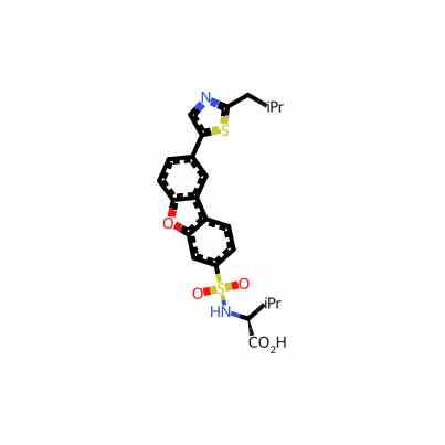 CC(C)Cc1ncc(-c2ccc3oc4cc(S(=O)(=O)N[C@H](C(=O)O)C(C)C)ccc4c3c2)s1